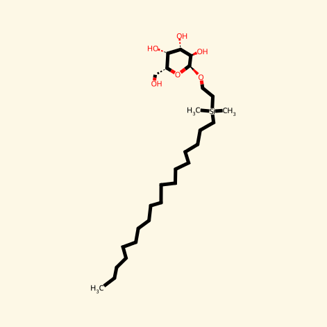 CCCCCCCCCCCCCCCCCC[Si](C)(C)CCO[C@H]1O[C@H](CO)[C@H](O)[C@H](O)[C@H]1O